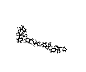 C[C@H]1CCCN1Cc1nc2cc(NC(=O)c3ccc(N4CCN(C(=O)CC5CCN(c6cccc7c6C(=O)N(C6CCC(=O)NC6=O)C7=O)CC5)CC4)cc3)ccc2[nH]1